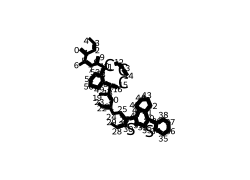 C=C(/C=C\C)/C(C)=C\C(=C)c1ccccccc(/C(C)=C/C(=C\C)C/C=c2\c(=C/C)sc3c4sc5ccccc5c4c4ccccc4c23)c2ccccc12